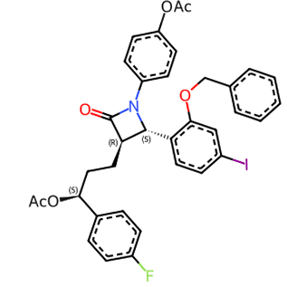 CC(=O)Oc1ccc(N2C(=O)[C@H](CC[C@H](OC(C)=O)c3ccc(F)cc3)[C@H]2c2ccc(I)cc2OCc2ccccc2)cc1